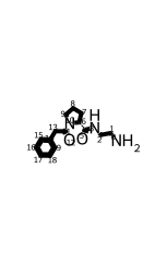 NCCNC(=O)[C@H]1CCCN1C(=O)Cc1ccccc1